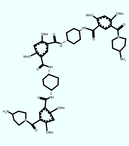 COc1cc(OC)c(C(=O)N[C@H]2CC[C@@H](NC(=O)c3cc(C(=O)N4CCC(N)CC4)c(OC)cc3OC)CC2)cc1C(=O)N[C@H]1CC[C@@H](NC(=O)c2cc(C(=O)N3CCC(N)CC3)c(OC)cc2OC)CC1